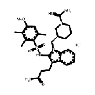 COc1cc(C)c(S(=O)(=O)Nc2c(CCC(N)=O)c3ccccc3n2C[C@@H]2CCCN(C(=N)N)C2)c(C)c1C.Cl